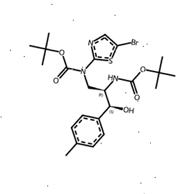 Cc1ccc([C@H](O)[C@@H](CN(C(=O)OC(C)(C)C)c2ncc(Br)s2)NC(=O)OC(C)(C)C)cc1